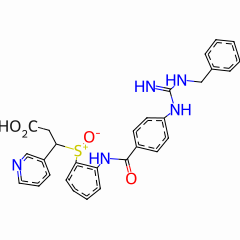 N=C(NCc1ccccc1)Nc1ccc(C(=O)Nc2ccccc2[S+]([O-])C(CC(=O)O)c2cccnc2)cc1